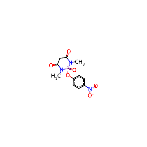 CN1C(=O)CC(=O)N(C)P1(=O)Oc1ccc([N+](=O)[O-])cc1